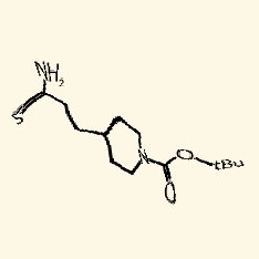 CC(C)(C)OC(=O)N1CCC(CCC(N)=S)CC1